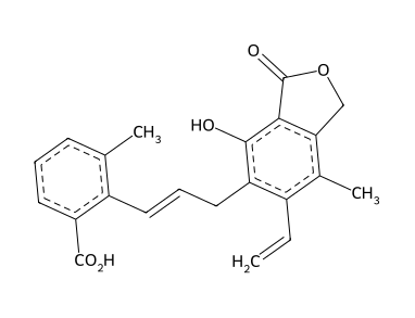 C=Cc1c(C)c2c(c(O)c1CC=Cc1c(C)cccc1C(=O)O)C(=O)OC2